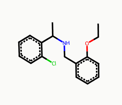 CCOc1ccccc1CNC(C)c1ccccc1Cl